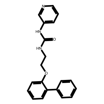 O=C(NCCOc1ccccc1-c1ccccc1)Nc1cccnc1